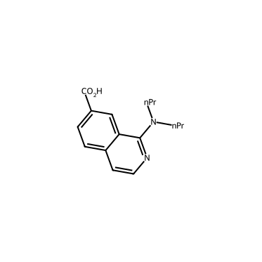 CCCN(CCC)c1nccc2ccc(C(=O)O)cc12